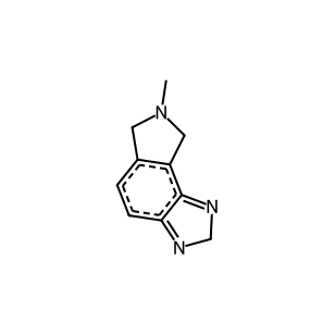 CN1Cc2ccc3c(c2C1)=NCN=3